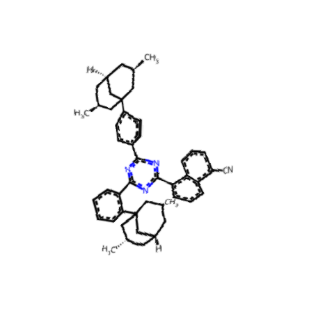 C[C@@H]1C[C@@H]2C[C@H](C)CC(c3ccc(-c4nc(-c5ccccc5C56C[C@H](C)C[C@H](C[C@H](C)C5)C6)nc(-c5cccc6c(C#N)cccc56)n4)cc3)(C1)C2